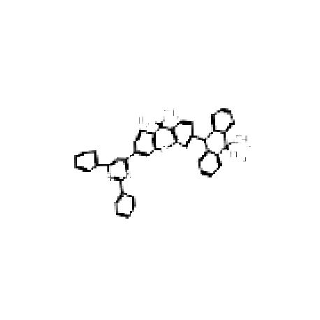 CC1(C)c2ccc(-c3cc(-c4ccccc4)nc(-c4ccccc4)n3)cc2Oc2cc(C3c4ccccc4C(C)(C)c4ccccc43)ccc21